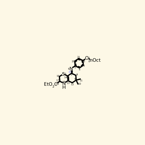 CCCCCCCCOc1ccc(/N=C2\CC(C)(C)CC3=C2SCC(C(=O)OCC)N3)cc1